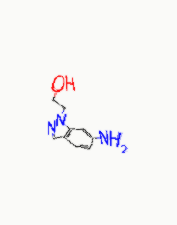 Nc1ccc2cnn(CCO)c2c1